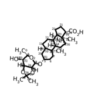 C[C@@H]1O[C@@H](O[C@H]2CC[C@@]3(C)[C@H](CC[C@@H]4[C@@H]3CC[C@]3(C)[C@@H](C(=O)O)CC[C@]43N)C2)[C@@H]2OC(C)(C)O[C@@H]2[C@H]1O